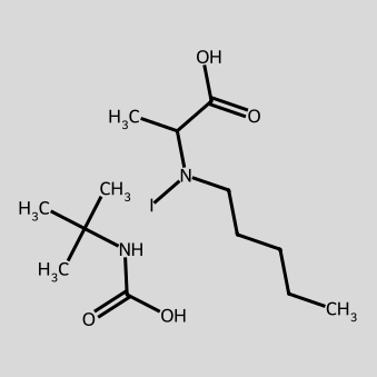 CC(C)(C)NC(=O)O.CCCCCN(I)C(C)C(=O)O